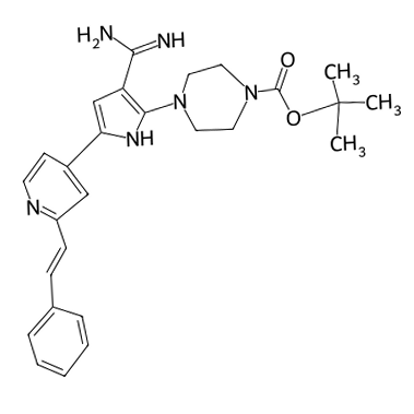 CC(C)(C)OC(=O)N1CCN(c2[nH]c(-c3ccnc(C=Cc4ccccc4)c3)cc2C(=N)N)CC1